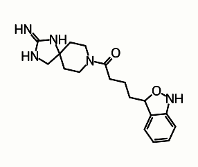 N=C1NCC2(CCN(C(=O)CCCC3ONc4ccccc43)CC2)N1